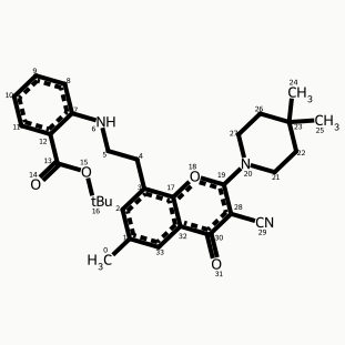 Cc1cc(CCNc2ccccc2C(=O)OC(C)(C)C)c2oc(N3CCC(C)(C)CC3)c(C#N)c(=O)c2c1